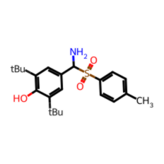 Cc1ccc(S(=O)(=O)C(N)c2cc(C(C)(C)C)c(O)c(C(C)(C)C)c2)cc1